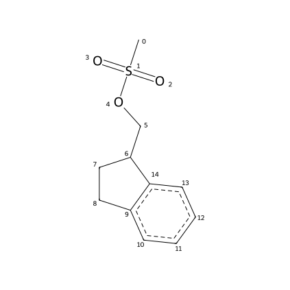 CS(=O)(=O)OCC1CCc2ccccc21